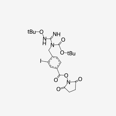 CC(C)(C)ONC(=N)N(Cc1ccc(C(=O)ON2C(=O)CCC2=O)cc1I)C(=O)OC(C)(C)C